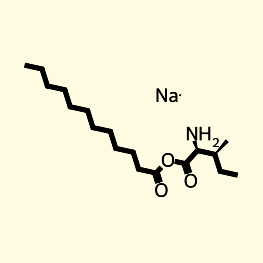 CCCCCCCCCCCC(=O)OC(=O)[C@@H](N)[C@@H](C)CC.[Na]